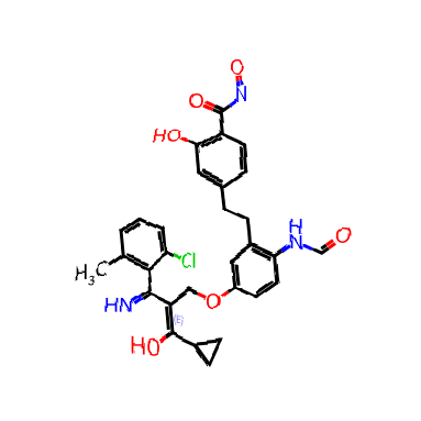 Cc1cccc(Cl)c1C(=N)/C(COc1ccc(NC=O)c(CCc2ccc(C(=O)N=O)c(O)c2)c1)=C(\O)C1CC1